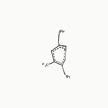 CC(C)c1ccc(C(C)C)c(C(F)(F)F)c1